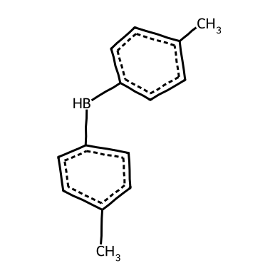 Cc1ccc(Bc2ccc(C)cc2)cc1